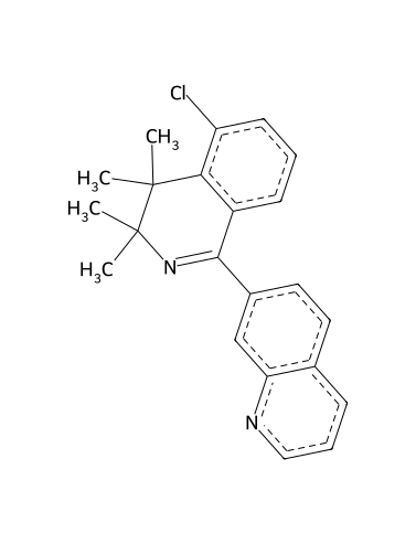 CC1(C)N=C(c2ccc3cccnc3c2)c2cccc(Cl)c2C1(C)C